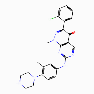 Cc1cc(Nc2ncc3c(=O)c(-c4ccccc4Cl)nn(C)c3n2)ccc1N1CCNCC1